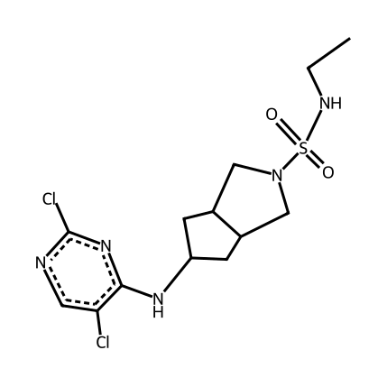 CCNS(=O)(=O)N1CC2CC(Nc3nc(Cl)ncc3Cl)CC2C1